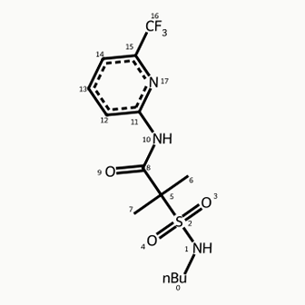 CCCCNS(=O)(=O)C(C)(C)C(=O)Nc1cccc(C(F)(F)F)n1